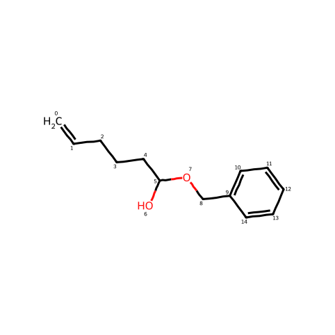 C=CCCCC(O)OCc1ccccc1